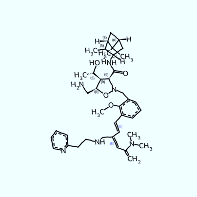 C=C(/C=C(\C=C\c1cccc(CN2O[C@@H](CN)[C@@H]([C@H](C)O)[C@H]2C(=O)N[C@H]2C[C@H]3C[C@@H]([C@@H]2C)C3(C)C)c1OC)CNCCc1ccccn1)N(C)C